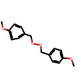 COc1ccc(COOCc2ccc(OC)cc2)cc1